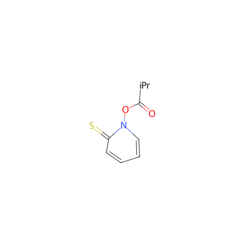 CC(C)C(=O)On1ccccc1=S